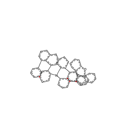 c1ccc(-c2cccc3cccc(-c4ccccc4N(c4cccc(-c5cccc6oc7ccccc7c56)c4)c4ccccc4-c4ccc5oc6ccccc6c5c4)c23)cc1